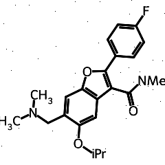 CNC(=O)c1c(-c2ccc(F)cc2)oc2cc(CN(C)C)c(OC(C)C)cc12